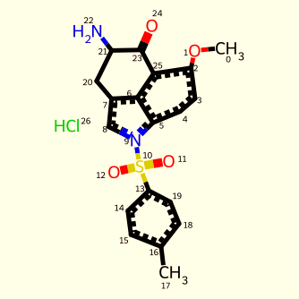 COc1ccc2c3c(cn2S(=O)(=O)c2ccc(C)cc2)CC(N)C(=O)c13.Cl